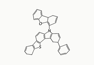 C1=Cc2c(sc3c2ccc2c3c3c(n2C2=C4Oc5ccccc5C4CC=C2)C=CC(c2ccccc2)C3)CC1